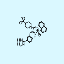 C=C([C@H](Cc1cccc(C(=N)N)c1)NS(=O)(=O)c1cccc2ccccc12)N1CCC(C(=O)OC)CC1